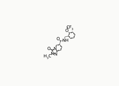 Cn1nc2ccc(C(=O)NCc3ccccc3OC(F)(F)F)cn2c1=O